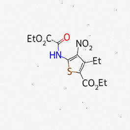 CCOC(=O)C(=O)Nc1sc(C(=O)OCC)c(CC)c1[N+](=O)[O-]